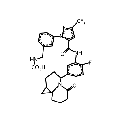 O=C(O)NCc1cccc(-n2nc(C(F)(F)F)cc2C(=O)Nc2cc(C(CCC3CC3)N3CCCCC3=O)ccc2F)c1